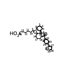 [2H]C1(c2ccccc2OCCCCCC(=O)O)CCCCC1C(=O)c1ccc(-c2ccco2)cc1